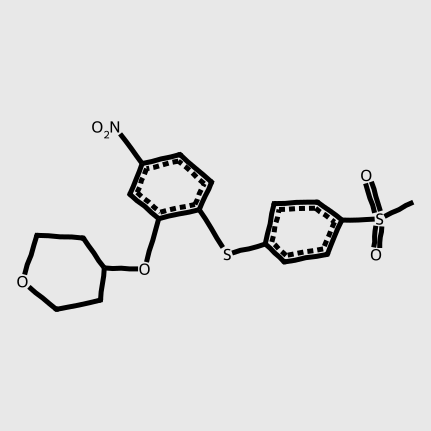 CS(=O)(=O)c1ccc(Sc2ccc([N+](=O)[O-])cc2OC2CCOCC2)cc1